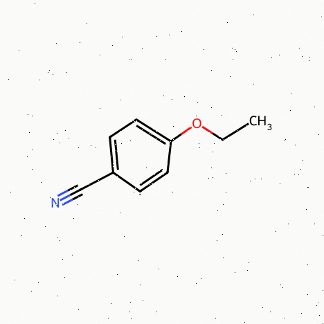 CCOc1c[c]c(C#N)cc1